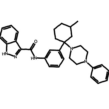 CC1CCCC(c2cccc(NC(=O)c3n[nH]c4ccccc34)c2)(N2CCN(c3ccccc3)CC2)C1